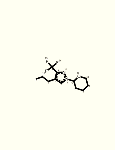 CCCc1cn(C2CCCCO2)nc1C(F)(F)F